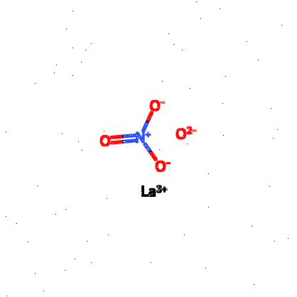 O=[N+]([O-])[O-].[La+3].[O-2]